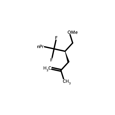 C=C(C)C[C@H](COC)C(F)(F)CCC